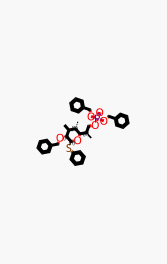 CC1[C@H](C)C([C@H](C)COP(=O)(OCc2ccccc2)OCc2ccccc2)O[C@H](Sc2ccccc2)[C@@H]1OCc1ccccc1